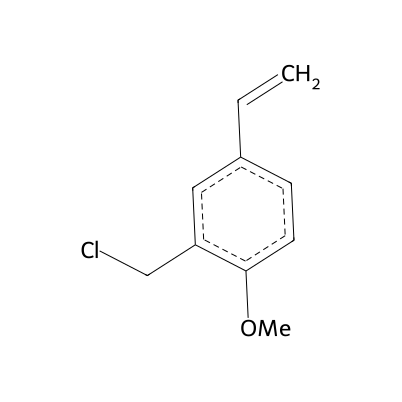 C=Cc1ccc(OC)c(CCl)c1